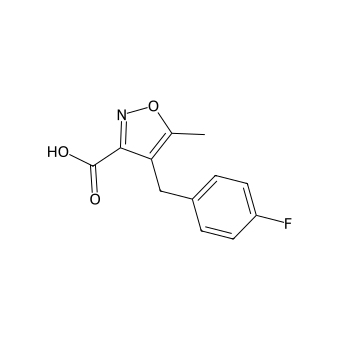 Cc1onc(C(=O)O)c1Cc1ccc(F)cc1